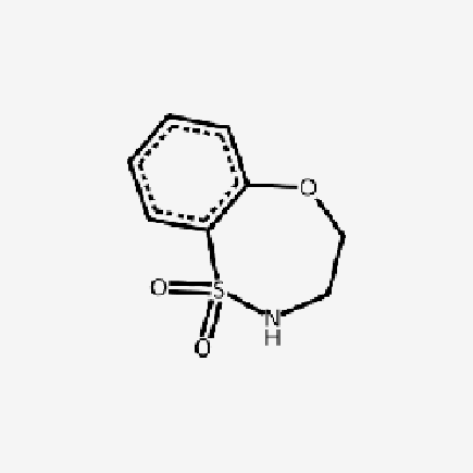 O=S1(=O)NCCOc2ccccc21